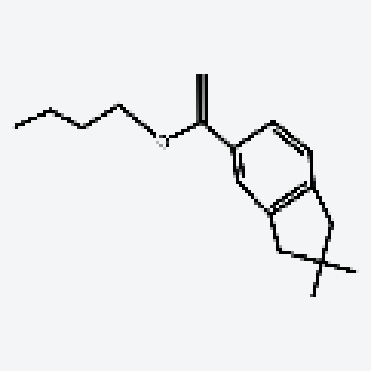 C=C(OCCCC)c1ccc2c(c1)CC(C)(C)C2